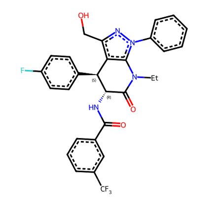 CCN1C(=O)[C@H](NC(=O)c2cccc(C(F)(F)F)c2)[C@@H](c2ccc(F)cc2)c2c(CO)nn(-c3ccccc3)c21